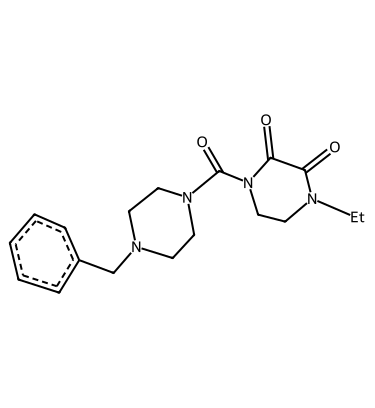 CCN1CCN(C(=O)N2CCN(Cc3ccccc3)CC2)C(=O)C1=O